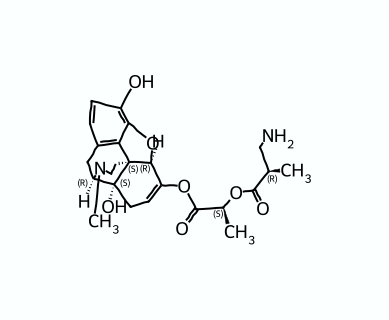 C[C@H](CN)C(=O)O[C@@H](C)C(=O)OC1=CC[C@@]2(O)[C@H]3Cc4ccc(O)c5c4[C@@]2(CCN3C)[C@H]1O5